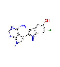 Cn1cc(-c2cc3cc(O)c(F)cc3[nH]2)c2c(N)ncnc21